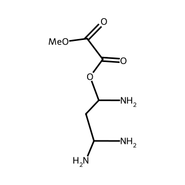 COC(=O)C(=O)OC(N)CC(N)N